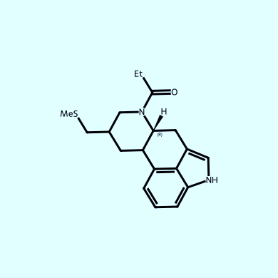 CCC(=O)N1CC(CSC)CC2c3cccc4[nH]cc(c34)C[C@H]21